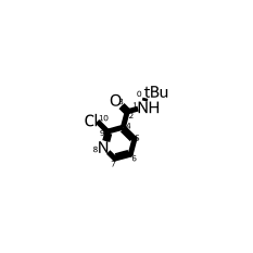 CC(C)(C)NC(=O)c1cccnc1Cl